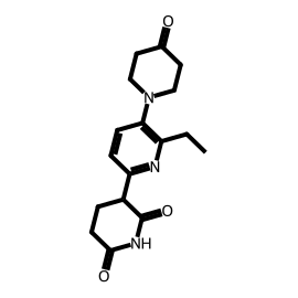 CCc1nc(C2CCC(=O)NC2=O)ccc1N1CCC(=O)CC1